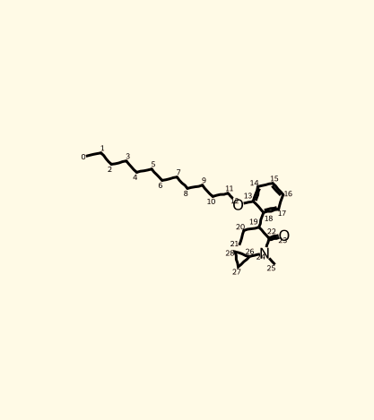 CCCCCCCCCCCCOc1ccccc1C(CC)C(=O)N(C)C1CC1